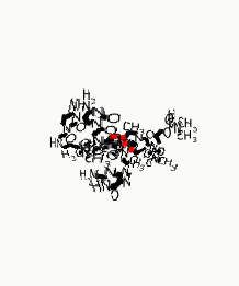 Cc1cn(C2CN(P(=O)(OCC3CN(P(=O)(OCC4CN(P(=O)(OCC5CNCC(n6ccc(N)nc6=O)O5)N(C)C)CC(n5ccc(N)nc5=O)O4)N(C)C)CC(n4cnc5c(=O)[nH]c(N)nc54)O3)N(C)C)CC(CO[PH](=O)N(C)C)O2)c(=O)[nH]c1=O